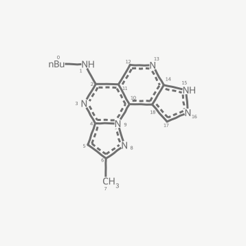 CCCCNc1nc2cc(C)nn2c2c1cnc1[nH]ncc12